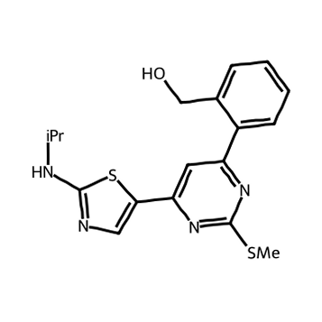 CSc1nc(-c2cnc(NC(C)C)s2)cc(-c2ccccc2CO)n1